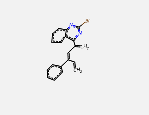 C=C/C(=C\C(=C)c1nc(Br)nc2ccccc12)c1ccccc1